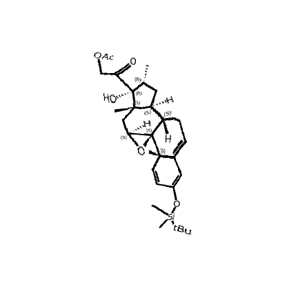 CC(=O)OCC(=O)[C@@]1(O)[C@H](C)C[C@H]2[C@@H]3CC=C4C=C(O[Si](C)(C)C(C)(C)C)C=C[C@]4(C)[C@@]34O[C@H]4C[C@@]21C